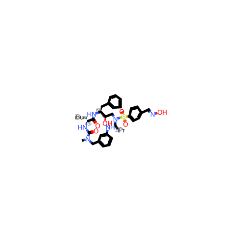 CC[C@H](C)[C@H](NC(=O)N(C)Cc1cccc(N)c1)C(=O)N[C@@H](Cc1ccccc1)[C@H](O)CN(CC(C)C)S(=O)(=O)c1ccc(C=NO)cc1